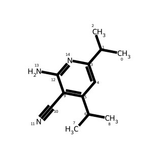 CC(C)c1cc(C(C)C)c(C#N)c(N)n1